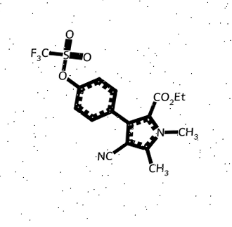 CCOC(=O)c1c(-c2ccc(OS(=O)(=O)C(F)(F)F)cc2)c(C#N)c(C)n1C